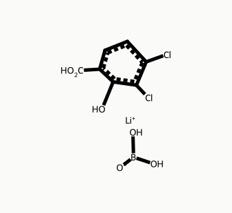 O=C(O)c1ccc(Cl)c(Cl)c1O.[Li+].[O-]B(O)O